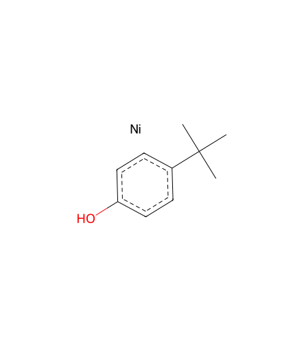 CC(C)(C)c1ccc(O)cc1.[Ni]